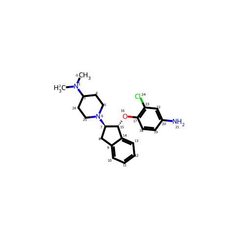 CN(C)C1CCN([C@@H]2Cc3ccccc3[C@H]2Oc2ccc(N)cc2Cl)CC1